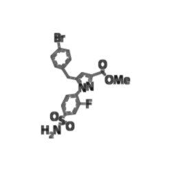 COC(=O)c1cc(Cc2ccc(Br)cc2)n(-c2ccc(S(N)(=O)=O)cc2F)n1